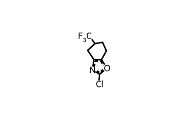 FC(F)(F)C1CCc2oc(Cl)nc2C1